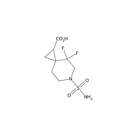 NS(=O)(=O)N1CCC2(CC2C(=O)O)C(F)(F)C1